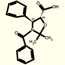 CC1(C)O[C@@H](C(=O)O)[C@H](c2ccccc2)N1C(=O)c1ccccc1